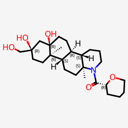 C[C@]12CC[C@H]3[C@@H](CC[C@@]4(O)C[C@@](O)(CO)CC[C@]34C)[C@@H]1CCCN2C(=O)[C@H]1CCCCO1